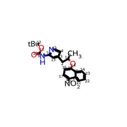 CC(Cc1ccnc(NC(=O)OC(C)(C)C)c1)Oc1ccc([N+](=O)[O-])c2ccccc12